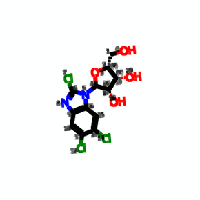 OC[C@H]1OC(n2c(Cl)nc3cc(Cl)c(Cl)cc32)[C@@H](O)[C@H]1O